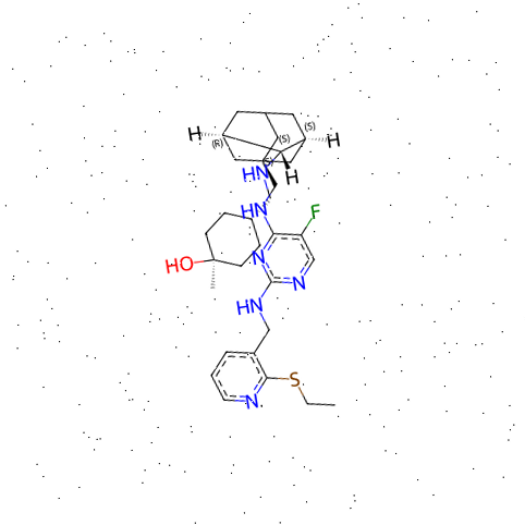 CCSc1ncccc1CNc1ncc(F)c(NC[C@]23CC4C[C@H](C2)[C@@H](NC[C@H]2CC[C@](C)(O)CC2)[C@@H](C4)C3)n1